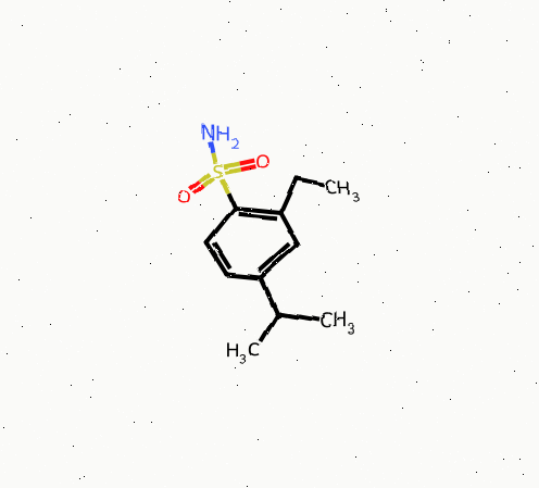 CCc1cc(C(C)C)ccc1S(N)(=O)=O